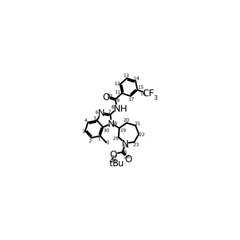 Cc1cccc2nc(NC(=O)c3cccc(C(F)(F)F)c3)n(C3CCCCN(C(=O)OC(C)(C)C)C3)c12